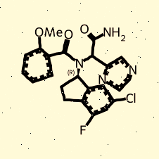 COc1ccccc1C(=O)N(C(C(N)=O)c1cnccn1)[C@@H]1CCc2c(F)cc(Cl)cc21